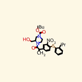 C=C(C(=O)N1CCN(C(=O)OC(C)(C)C)CC1CO)c1ccc(Sc2ccccc2C(C)C)c([N+](=O)[O-])c1